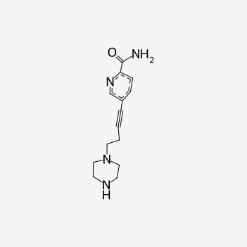 NC(=O)c1ccc(C#CCCN2CCNCC2)cn1